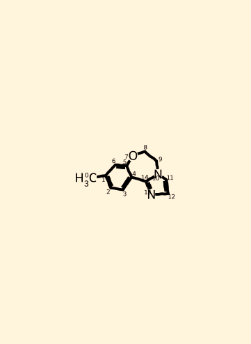 Cc1ccc2c(c1)OCCn1ccnc1-2